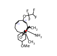 C=C1/C=C(OC(F)(F)C(F)F)\C=C/CCC2(CCC(OC)CC2)[C@@]12N=C(N)N(C)C2=O